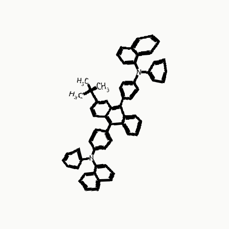 CC(C)(C)c1ccc2c(-c3ccc(N(c4ccccc4)c4cccc5ccccc45)cc3)c3ccccc3c(-c3ccc(N(c4ccccc4)c4cccc5ccccc45)cc3)c2c1